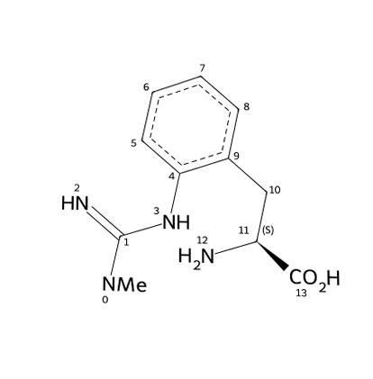 CNC(=N)Nc1ccccc1C[C@H](N)C(=O)O